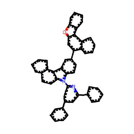 c1ccc(-c2cc(-c3ccccc3)nc(-n3c4ccc(-c5cc6oc7ccccc7c6c6ccccc56)cc4c4c5ccccc5ccc43)c2)cc1